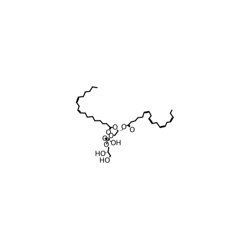 CC/C=C\C/C=C\C/C=C\C/C=C\CCCCC(=O)OC[C@H](COP(=O)(O)OC[C@@H](O)CO)OC(=O)CCCCCCC/C=C\C/C=C\CCCCC